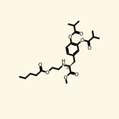 CCCCC(=O)OCCN[C@@H](Cc1ccc(OC(=O)C(C)C)c(OC(=O)C(C)C)c1)C(=O)OC